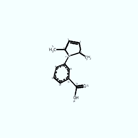 CC1C=CC(C)N1c1cccc(C(=O)O)c1